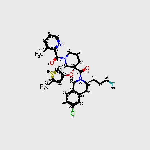 CCC[C@H]1N(C(=O)c2ncccc2C(F)(F)F)CCC[C@@]1(Oc1csc(C(F)(F)F)c1)C(=O)N1Cc2ccc(Cl)cc2C[C@@H]1CCCF